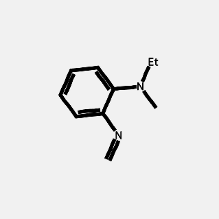 C=Nc1ccccc1N(C)CC